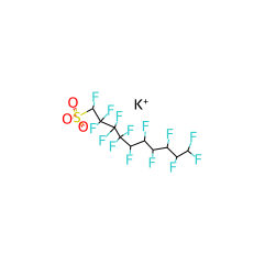 O=S(=O)([O-])C(F)C(F)(F)C(F)(F)C(F)(F)C(F)C(F)C(F)C(F)C(F)C(F)F.[K+]